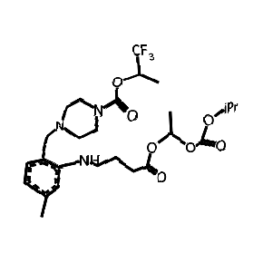 Cc1ccc(CN2CCN(C(=O)OC(C)C(F)(F)F)CC2)c(NCCCC(=O)OC(C)OC(=O)OC(C)C)c1